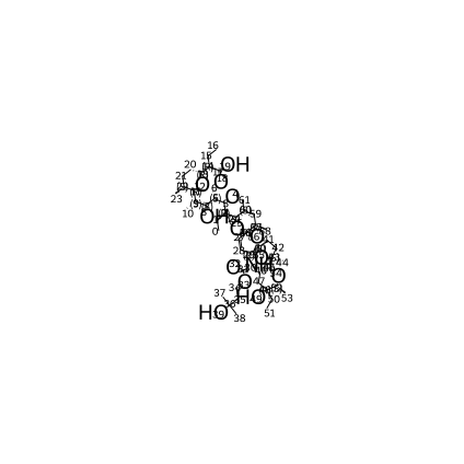 CC[C@@H](C(=O)[C@@H](C)[C@@H](O)[C@H](C)[C@@H]1O[C@@H]([C@@H](CC)C(=O)O)CC[C@@H]1C)[C@H]1O[C@]2(C=C[C@@H](NC(=O)OCCC(C)(C)O)[C@]3(CC[C@@](C)([C@H]4CC[C@](O)(CC)[C@H](C)O4)O3)O2)[C@H](C)C[C@@H]1C